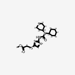 COC(=O)CSc1cnc(NC(=O)N(C2CCCCC2)C2CCSCC2)s1